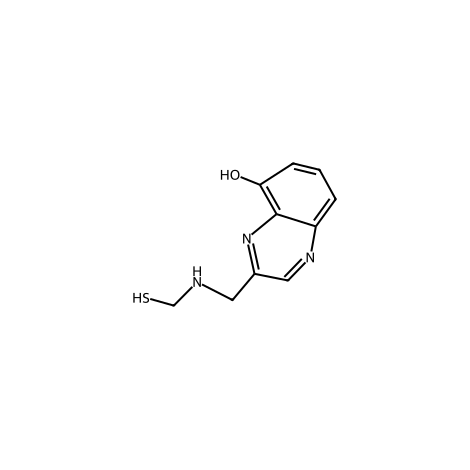 Oc1cccc2ncc(CNCS)nc12